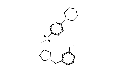 N#Cc1cccc(CN2CC[C@H](NS(=O)(=O)c3ccc(N4CCOCC4)nc3)C2)c1